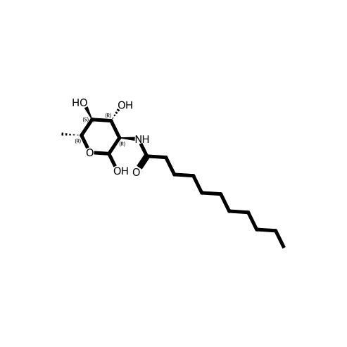 CCCCCCCCCCC(=O)N[C@H]1[C](O)O[C@H](C)[C@@H](O)[C@@H]1O